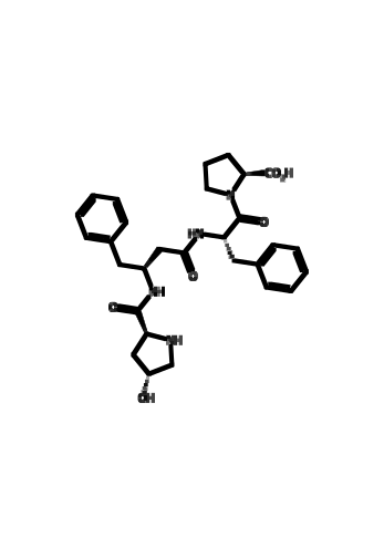 O=C(C[C@H](Cc1ccccc1)NC(=O)[C@@H]1C[C@@H](O)CN1)N[C@@H](Cc1ccccc1)C(=O)N1CCC[C@H]1C(=O)O